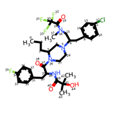 CCCC1CN(C(Cc2ccc(Cl)cc2)CN(C)C(=O)C(F)(F)F)CCN1C(=O)C(Cc1ccc(F)cc1)NC(=O)C(C)(C)O